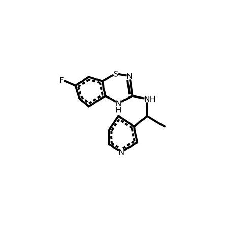 CC(NC1=NSc2cc(F)ccc2N1)c1cccnc1